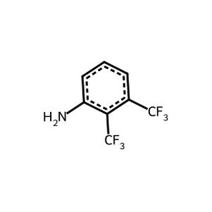 Nc1cccc(C(F)(F)F)c1C(F)(F)F